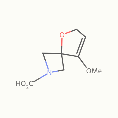 COC1=CCOC12CN(C(=O)O)C2